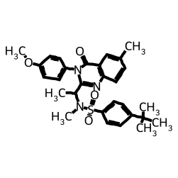 COc1ccc(-n2c(C(C)N(C)S(=O)(=O)c3ccc(C(C)(C)C)cc3)nc3ccc(C)cc3c2=O)cc1